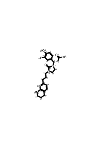 O=C(O)C[C@@H](c1ccc(O)c(F)c1)N1CCN(CCCc2ccc3c(n2)NCCC3)C1=O